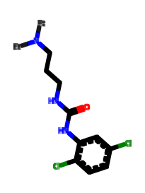 CCN(CC)CCCNC(=O)Nc1cc(Cl)ccc1Cl